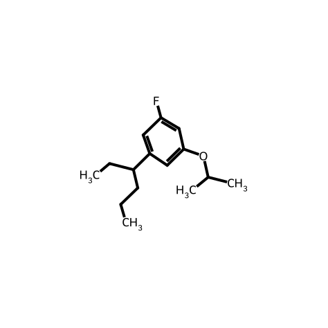 CCCC(CC)c1cc(F)cc(OC(C)C)c1